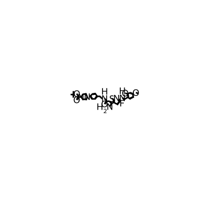 COc1ccc(CNc2nc3sc(C(=O)NCCc4ccc(N5CCN(C(=O)OC(C)(C)C)CC5)cc4)c(N)c3cc2F)c(OC)c1